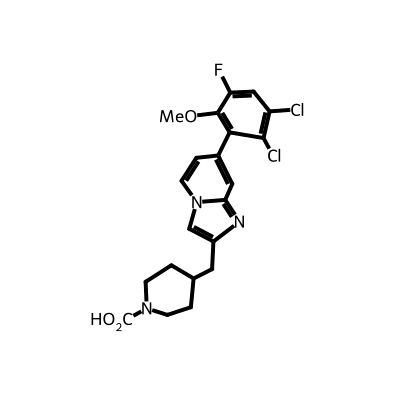 COc1c(F)cc(Cl)c(Cl)c1-c1ccn2cc(CC3CCN(C(=O)O)CC3)nc2c1